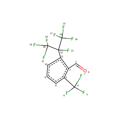 O=Cc1c(C(F)(F)F)cccc1C(F)(C(F)(F)F)C(F)(F)F